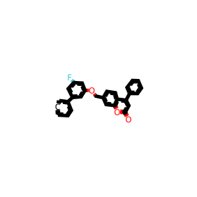 O=c1cc(-c2ccccc2)c2ccc(COc3cc(F)cc(-c4ccccc4)c3)cc2o1